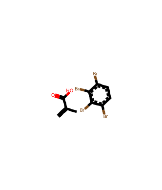 Brc1ccc(Br)c(Br)c1Br.C=C(C)C(=O)O